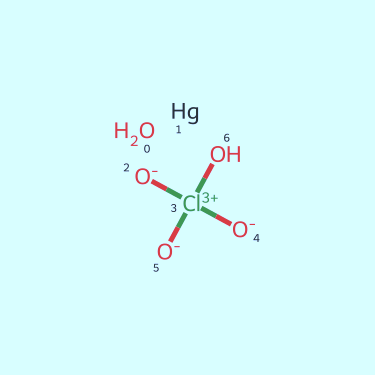 O.[Hg].[O-][Cl+3]([O-])([O-])O